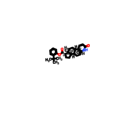 CC(C)(C)c1ccccc1OC(=O)[C@H]1CC[C@H]2[C@@H]3CC[C@H]4NC(=O)C=C[C@]4(C)[C@H]3CC[C@]12C